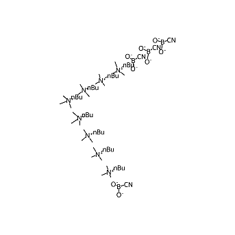 CCCC[N+](C)(C)C.CCCC[N+](C)(C)C.CCCC[N+](C)(C)C.CCCC[N+](C)(C)C.CCCC[N+](C)(C)C.CCCC[N+](C)(C)C.CCCC[N+](C)(C)C.CCCC[N+](C)(C)C.N#CB([O-])[O-].N#CB([O-])[O-].N#CB([O-])[O-].N#CB([O-])[O-]